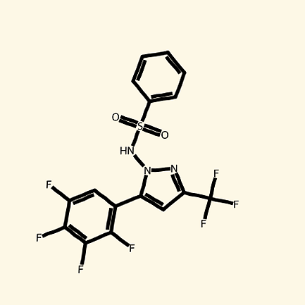 O=S(=O)(Nn1nc(C(F)(F)F)cc1-c1cc(F)c(F)c(F)c1F)c1ccccc1